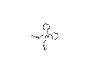 [N-]=[N+]=NCC(CN=[N+]=[N-])[SiH](c1ccccc1)c1ccccc1